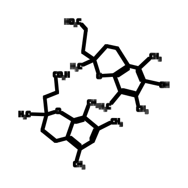 Cc1c(C)c2c(c(C)c1O)CCC(C)(CCC(=O)O)O2.Cc1cc(C)c2c(c1C)OC(C)(CCC(=O)O)CC2